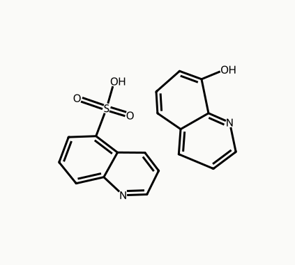 O=S(=O)(O)c1cccc2ncccc12.Oc1cccc2cccnc12